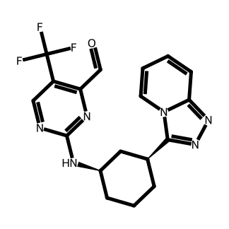 O=Cc1nc(N[C@@H]2CCC[C@H](c3nnc4ccccn34)C2)ncc1C(F)(F)F